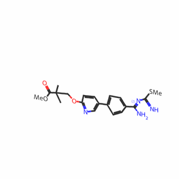 COC(=O)C(C)(C)COc1ccc(-c2ccc(/C(N)=N/C(=N)SC)cc2)cn1